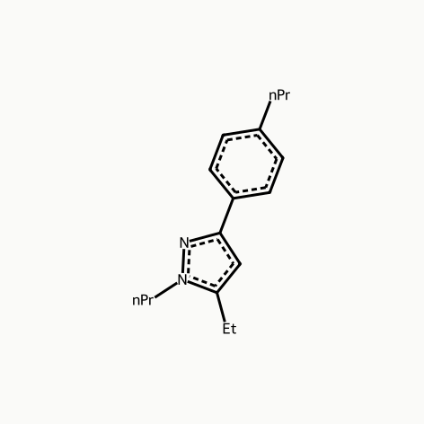 CCCc1ccc(-c2cc(CC)n(CCC)n2)cc1